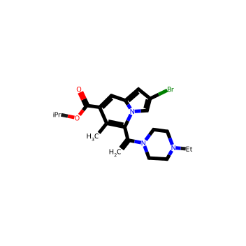 C=C(c1c(C)c(C(=O)OC(C)C)cc2cc(Br)cn12)N1CCN(CC)CC1